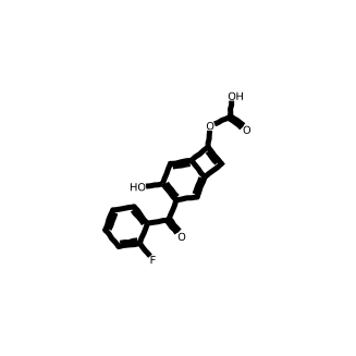 O=C(O)OC1=Cc2cc(C(=O)c3ccccc3F)c(O)cc21